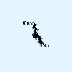 CCCC(C)CC(C)CC(C)CC(C)CCCC(OCC)OC(CCCC(C)CC(C)CC(C)CC(C)CCC)OCC